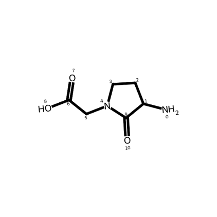 NC1CCN(CC(=O)O)C1=O